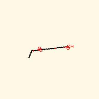 CCCCCCCC/C=C\CCCCCCCC(=O)OCCCCCCCCCCCCCCCCCCCCCCCCCCCCCC(=O)O